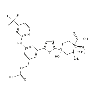 CC(=O)OCc1cc(Nc2nccc(C(F)(F)F)n2)cc(-c2cnc([C@@]3(O)CC[C@](C)(C(=O)O)C(C)(C)C3)s2)c1